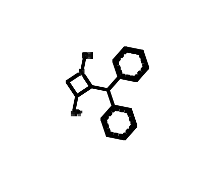 CCCC1CN(O)C1C(c1ccccc1)c1ccccc1